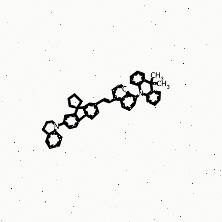 CC1(C)c2ccccc2N(c2cccc3c(/C=C/c4ccc5c(c4)C4(CCCC4)c4cc(N6CCCc7ccccc76)ccc4-5)cccc23)c2ccccc21